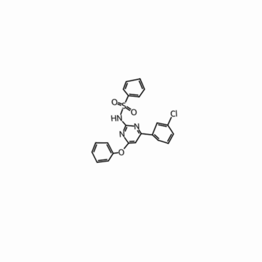 O=S(=O)(Nc1nc(Oc2ccccc2)cc(-c2cccc(Cl)c2)n1)c1ccccc1